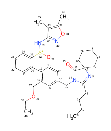 CCCCC1=NC2(CCCCC2)C(=O)N1Cc1ccc(-c2ccccc2[S+]([O-])Nc2noc(C)c2C)c(COCC)c1